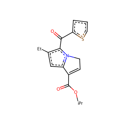 CCc1cc2n(c1C(=O)c1cccs1)CC=C2C(=O)OC(C)C